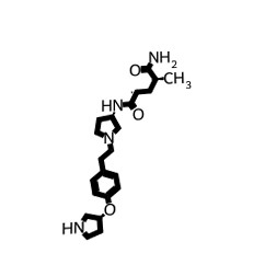 C[C@@H](C[CH]C(=O)N[C@H]1CCN(CCc2ccc(O[C@H]3CCNC3)cc2)C1)C(N)=O